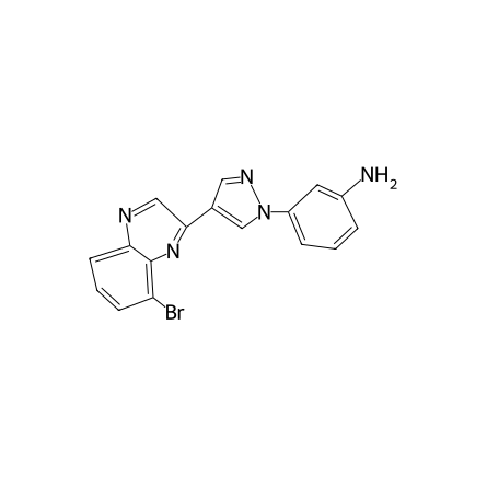 Nc1cccc(-n2cc(-c3cnc4cccc(Br)c4n3)cn2)c1